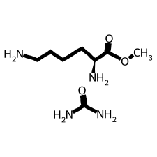 COC(=O)[C@@H](N)CCCCN.NC(N)=O